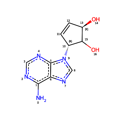 Nc1ncnc2c1ncn2[C@@H]1C=C[C@@H](O)C1O